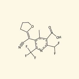 Cc1c(C(=O)O)c(C(F)F)nc(C(F)(F)F)c1C(C#N)=C1CCCO1